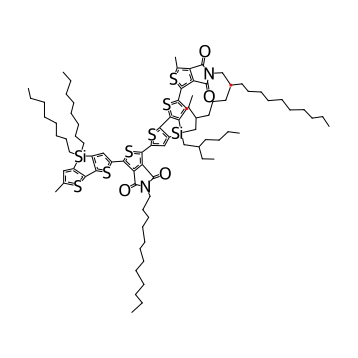 CCCCCCCCCCCCN1C(=O)c2c(C)sc(-c3cc4c(s3)-c3sc(-c5sc(-c6cc7c(s6)-c6sc(C)cc6[Si]7(CCCCCCCC)CCCCCCCC)c6c5C(=O)N(CCCCCCCCCCCC)C6=O)cc3[Si]4(CC(CC)CCCC)CC(CC)CCCC)c2C1=O